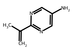 C=C(C)c1ncc(N)cn1